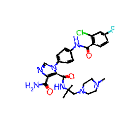 CN1CCN(CC(C)(C)NC(=O)c2c(C(N)=O)ncn2-c2ccc(NC(=O)c3ccc(F)cc3Cl)cc2)CC1